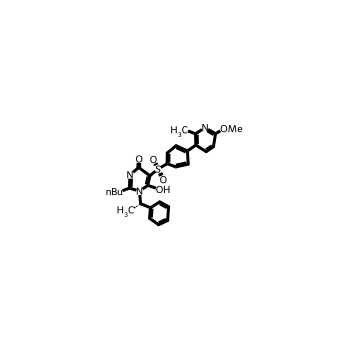 CCCCc1nc(=O)c(S(=O)(=O)c2ccc(-c3ccc(OC)nc3C)cc2)c(O)n1[C@@H](C)c1ccccc1